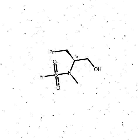 CC(C)C[C@@H](CO)N(C)S(=O)(=O)C(C)C